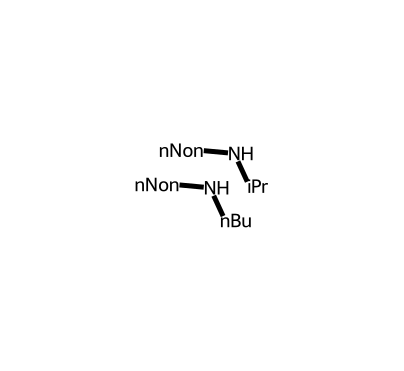 CCCCCCCCCNC(C)C.CCCCCCCCCNCCCC